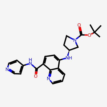 CC(C)(C)OC(=O)N1CC[C@H](Nc2ccc(C(=O)Nc3ccncc3)c3ncccc23)C1